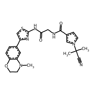 CN1CCOc2ccc(-c3csc(NC(=O)CNC(=O)c4ccn(C(C)(C)C#N)c4)n3)cc21